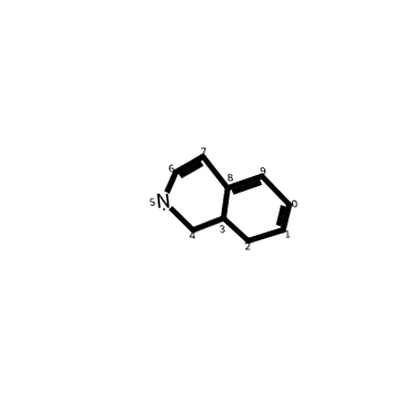 C1=CCC2C[N]C=CC2=C1